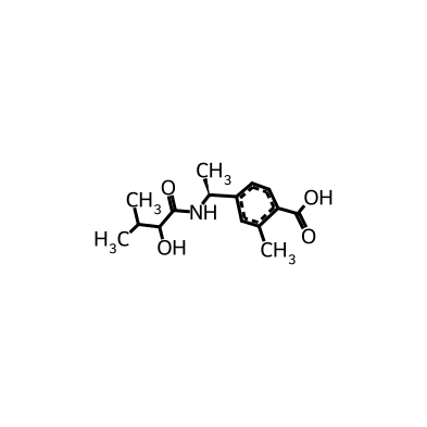 Cc1cc([C@H](C)NC(=O)C(O)C(C)C)ccc1C(=O)O